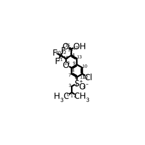 CC(C)C[S+]([O-])c1cc2c(cc1Cl)C=C(C(=O)O)C(C(F)(F)F)O2